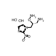 Cl.Cl.NC[C@H](Cn1ccnc1[N+](=O)[O-])ON